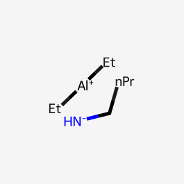 CCCC[NH-].C[CH2][Al+][CH2]C